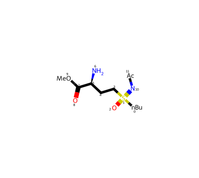 CCCCS(=O)(CC[C@H](N)C(=O)OC)=NC(C)=O